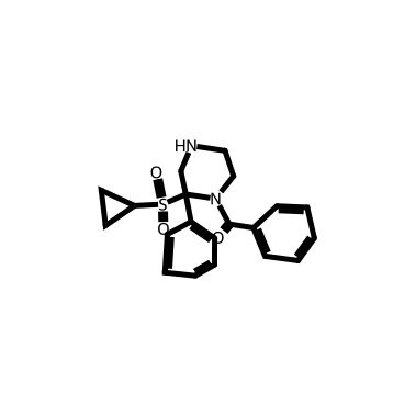 O=C(c1ccccc1)N1CCNCC1(c1ccccc1)S(=O)(=O)C1CC1